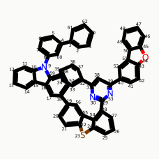 c1ccc(-c2cccc(-n3c4ccccc4c4cc(-c5ccc6sc7cccc(-c8nc(-c9ccccc9)cc(-c9ccc%10oc%11ccccc%11c%10c9)n8)c7c6c5)ccc43)c2)cc1